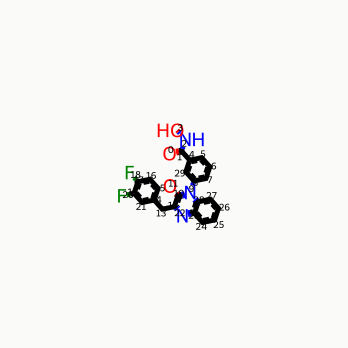 O=C(NO)c1cccc(-n2c(=O)c(Cc3ccc(F)c(F)c3)nc3ccccc32)c1